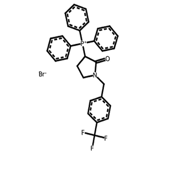 O=C1C([P+](c2ccccc2)(c2ccccc2)c2ccccc2)CCN1Cc1ccc(C(F)(F)F)cc1.[Br-]